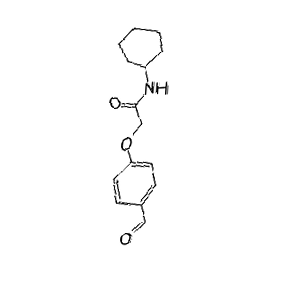 O=Cc1ccc(OCC(=O)NC2CCCCC2)cc1